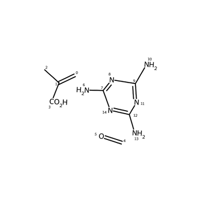 C=C(C)C(=O)O.C=O.Nc1nc(N)nc(N)n1